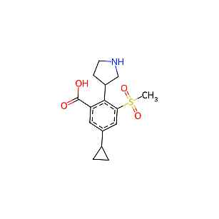 CS(=O)(=O)c1cc(C2CC2)cc(C(=O)O)c1C1CCNC1